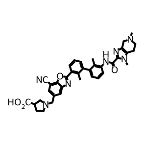 Cc1c(NC(=O)c2nc3c(n2C)CCN(C)C3)cccc1-c1cccc(-c2nc3cc(CN4CCC(C(=O)O)C4)cc(C#N)c3o2)c1C